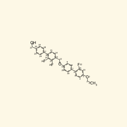 CCOc1ccc(-c2ccc(OCc3ccc(-c4ccc(CO)cc4)c(F)c3F)cc2)c(F)c1